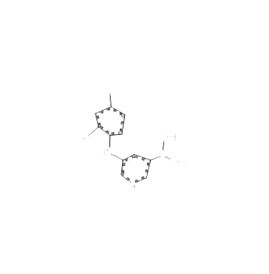 OB(O)c1cncc(Nc2ccc(Cl)cc2F)c1